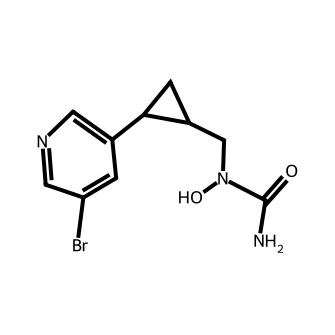 NC(=O)N(O)CC1CC1c1cncc(Br)c1